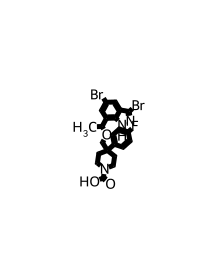 CC(OCC1(c2ccc(F)cc2)CCN(C(=O)O)CC1)c1cc(Br)cc2c(Br)n[nH]c12